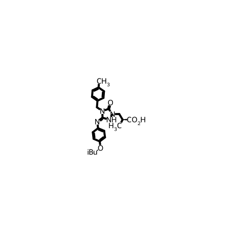 CC[C@@H](C)Oc1ccc(/N=c2\[nH]n(C[C@H](C)C(=O)O)c(=O)n2Cc2ccc(C)cc2)cc1